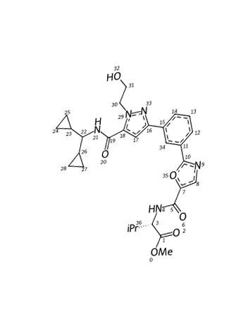 COC(=O)[C@@H](NC(=O)c1cnc(-c2cccc(-c3cc(C(=O)NC(C4CC4)C4CC4)n(CCO)n3)c2)o1)C(C)C